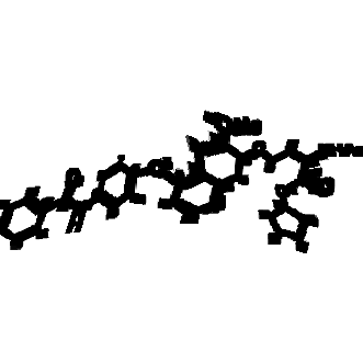 COc1cc2c(Oc3ccc(NC(=O)c4ccccc4)cc3)ccnc2cc1OCCC(NC(C)=O)C(=O)OC1CCCC1